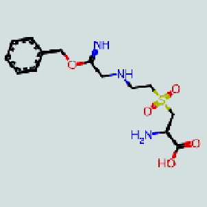 N=C(CNCCS(=O)(=O)CC(N)C(=O)O)OCc1ccccc1